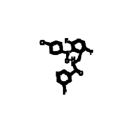 O=C(NCc1c(F)ccc(F)c1[S+]([O-])c1ccc(Cl)cc1)c1cncc(F)c1